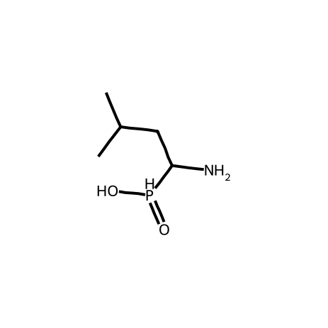 CC(C)CC(N)[PH](=O)O